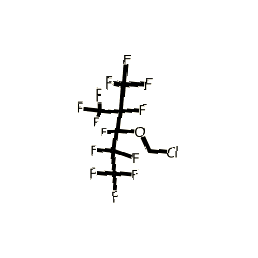 FC(F)(F)C(F)(F)C(F)(OCCl)C(F)(C(F)(F)F)C(F)(F)F